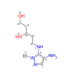 CCn1ncc(N)c1NCCC(O)CCO